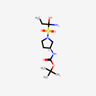 CCC(N)(O)S(=O)(=O)N1CC[C@H](NC(=O)OC(C)(C)C)C1